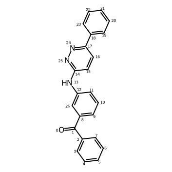 O=C(c1ccccc1)c1cccc(Nc2ccc(-c3ccccc3)nn2)c1